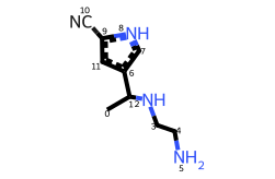 CC(NCCN)c1c[nH]c(C#N)c1